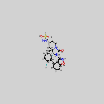 CS(=O)(=O)N[C@@H]1CCN2C(=O)N(c3noc4cccc(-c5c(F)cccc5F)c34)C[C@@H]2C1